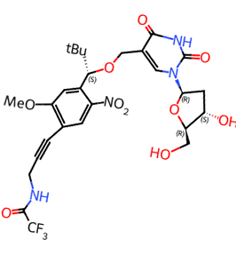 COc1cc([C@@H](OCc2cn([C@H]3C[C@H](O)[C@@H](CO)O3)c(=O)[nH]c2=O)C(C)(C)C)c([N+](=O)[O-])cc1C#CCNC(=O)C(F)(F)F